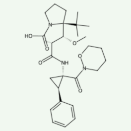 CO[C@H]([C@@H](C)C(=O)N[C@@]1(C(=O)N2CCCCO2)C[C@@H]1c1ccccc1)[C@@]1(C(C)(C)C)CCCN1C(=O)O